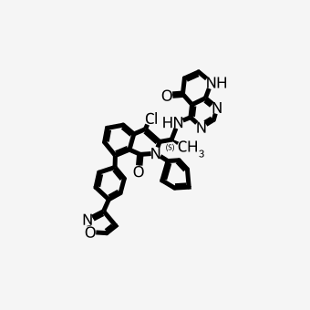 C[C@H](Nc1ncnc2[nH]ccc(=O)c12)c1c(Cl)c2cccc(-c3ccc(-c4ccon4)cc3)c2c(=O)n1-c1ccccc1